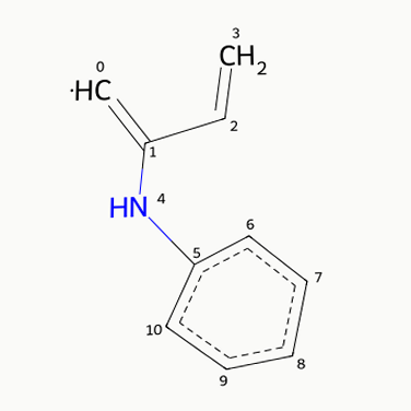 [CH]=C(C=C)Nc1ccccc1